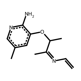 C=C/N=C(/C)C(C)Oc1cc(C)cnc1N